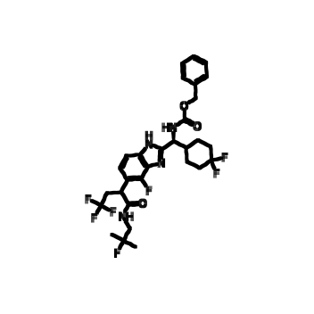 CC(C)(F)CNC(=O)C(CC(F)(F)F)c1ccc2[nH]c([C@@H](NC(=O)OCc3ccccc3)C3CCC(F)(F)CC3)nc2c1F